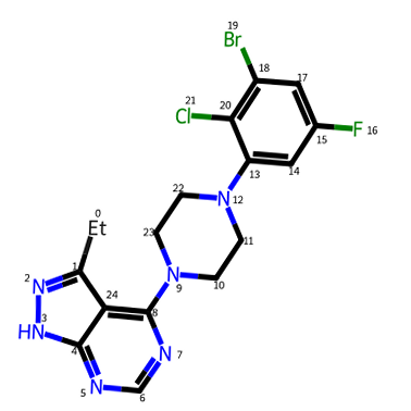 CCc1n[nH]c2ncnc(N3CCN(c4cc(F)cc(Br)c4Cl)CC3)c12